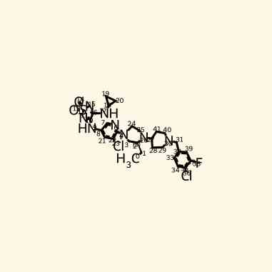 CC[C@H]1CN(c2ncc(NC3=NS(=O)(=O)N=C3NC3CC3)cc2Cl)CCN1C1CCN(Cc2ccc(Cl)c(F)c2)CC1